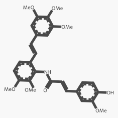 COc1cc(/C=C/C(=O)Nc2c(C=Cc3cc(OC)c(OC)c(OC)c3)ccc(OC)c2OC)ccc1O